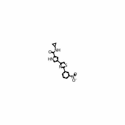 O=C(NC1CC1)c1cc(-c2csc(-c3cccc([N+](=O)[O-])c3)n2)c[nH]1